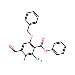 Cc1c(Cl)c(C=O)cc(OCc2ccccc2)c1C(=O)Oc1ccccc1